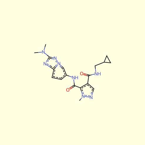 CN(C)c1nc2ccc(NC(=O)c3c(C(=O)NCC4CC4)cnn3C)cn2n1